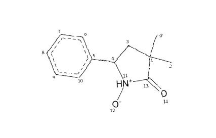 CC1(C)CC(c2ccccc2)[NH+]([O-])C1=O